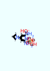 Nc1cc(N2CCC2)cc(N)[n+]1OS(=O)(=O)O.[OH-]